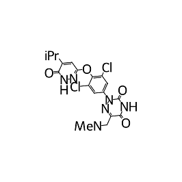 CNCc1nn(-c2cc(Cl)c(Oc3cc(C(C)C)c(=O)[nH]n3)c(Cl)c2)c(=O)[nH]c1=O